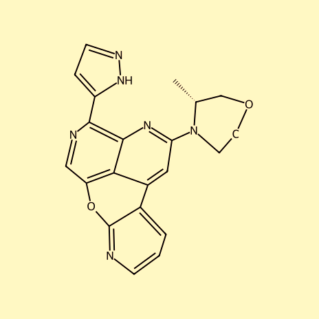 C[C@@H]1COCCN1c1cc2c3c(cnc(-c4ccn[nH]4)c3n1)Oc1ncccc1-2